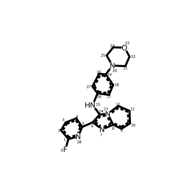 Fc1cccc(-c2nc3ccccn3c2Nc2ccc(N3CCOCC3)cc2)n1